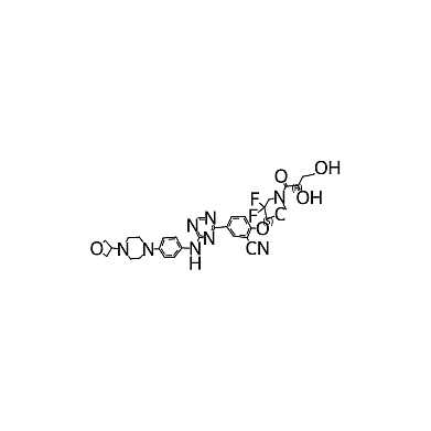 N#Cc1cc(-c2ncnc(Nc3ccc(N4CCN(C5COC5)CC4)cc3)n2)ccc1O[C@H]1CCN(C(=O)[C@H](O)CCO)CC1(F)F